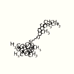 CC(=O)OC[C@H]1O[C@H](SCCCCCCO[C@H]2CC[C@@]3(C)C(=CCC4C3CC[C@@]3(C)C4CC[C@@H]3[C@H](C)CCCC(C)C)C2)[C@@H](OC(C)=O)[C@@H](OC(C)=O)[C@@H]1OC(C)=O